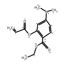 C=CC(=O)Oc1cc(N(C)C)ccc1C(=O)OCC